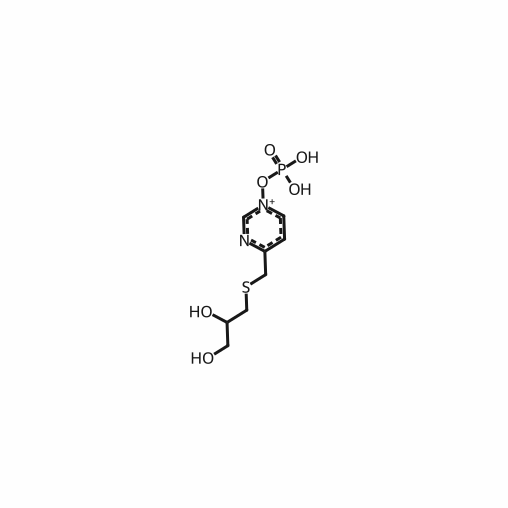 O=P(O)(O)O[n+]1ccc(CSCC(O)CO)nc1